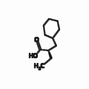 CC[C@H](CC1CCCCC1)C(=O)O